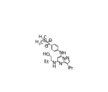 CC[C@H](CO)Nc1cc(Nc2ccc(S(=O)(=O)N(C)C)cc2)n2ncc(C(C)C)c2n1